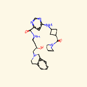 O=C(NCC(O)CN1CCc2ccccc2C1)c1cc(NC2CC(C(=O)N3CCC3)C2)ncn1